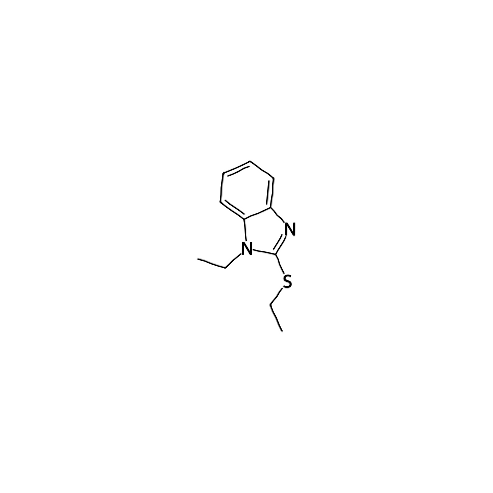 CCSc1nc2ccccc2n1CC